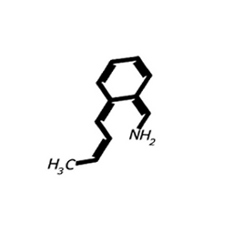 C\C=C/C=c1/cccc/c1=C/N